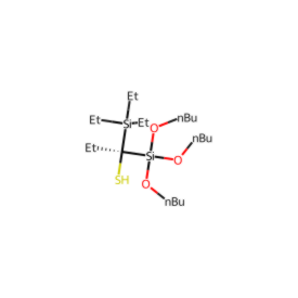 CCCCO[Si](OCCCC)(OCCCC)[C@](S)(CC)[Si](CC)(CC)CC